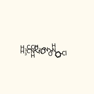 CC(C)(C)NC(=O)CN1CC2CC1CN2CC(=O)Nc1cccc(Cl)c1